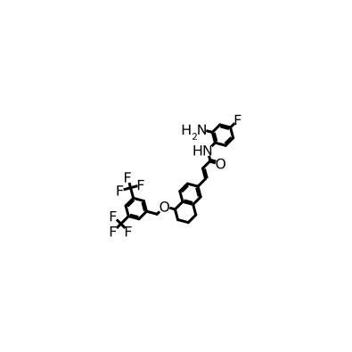 Nc1cc(F)ccc1NC(=O)/C=C/c1ccc2c(c1)CCCC2OCc1cc(C(F)(F)F)cc(C(F)(F)F)c1